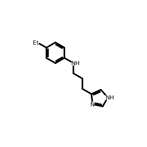 CCc1ccc(NCCCc2c[nH]cn2)cc1